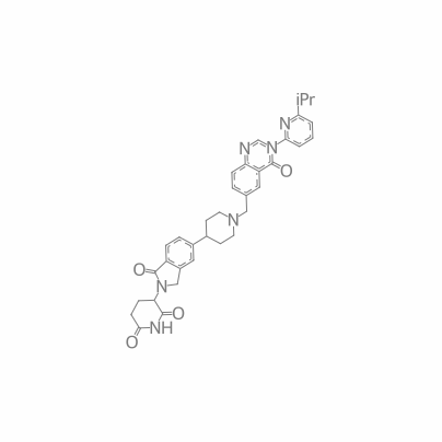 CC(C)c1cccc(-n2cnc3ccc(CN4CCC(c5ccc6c(c5)CN(C5CCC(=O)NC5=O)C6=O)CC4)cc3c2=O)n1